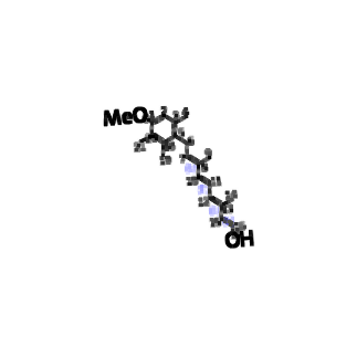 COc1cc(C)c(C/C=C(C)/C=C/C=C(C)/C=C/O)c(C)c1C